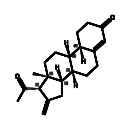 C=C1C[C@H]2[C@@H]3CCC4=CC(=O)CC[C@@H]4[C@H]3CC[C@]2(C)[C@H]1C(C)=O